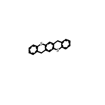 c1ccc2c(c1)Cc1cc3c(cc1S2)Cc1ccccc1S3